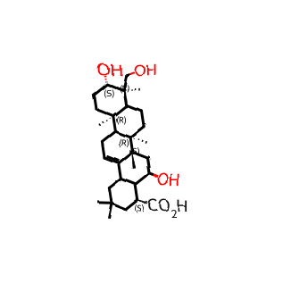 CC1(C)CC2C3=CCC4[C@@]5(C)CC[C@H](O)[C@@](C)(CO)C5CC[C@@]4(C)[C@]3(C)CC(O)C2[C@@H](C(=O)O)C1